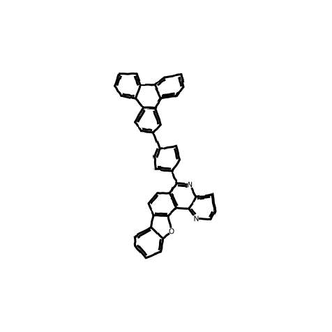 c1cnc2c(c1)nc(-c1ccc(-c3ccc4c5ccccc5c5ccccc5c4c3)cc1)c1ccc3c4ccccc4oc3c12